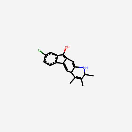 CC1=C(C)C2C=C3C(=C(O)c4cc(F)ccc43)C=C2NC1C